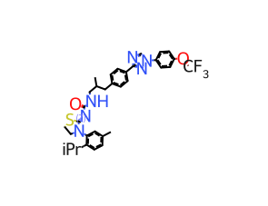 Cc1ccc(C(C)C)c(N2CCS/C2=N\C(=O)NCC(C)Cc2ccc(-c3ncn(-c4ccc(OC(F)(F)F)cc4)n3)cc2)c1